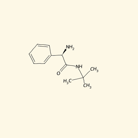 CC(C)(C)NC(=O)[C@H](N)c1ccccc1